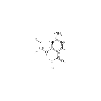 CC[C@@H](C)Oc1nc(N)ncc1C(=O)OC